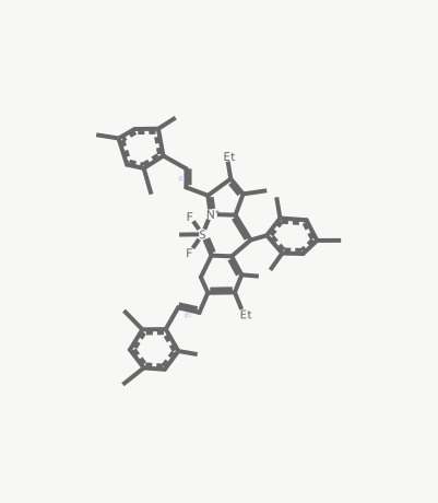 CCC1=C(/C=C/c2c(C)cc(C)cc2C)CC2=S(C)(F)(F)[N+]3=C(/C=C/c4c(C)cc(C)cc4C)C(CC)=C(C)C3=C(c3c(C)cc(C)cc3C)C2=C1C